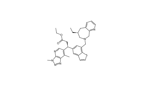 CCOC(=O)C[C@@H](c1cc(CN2Cc3ncccc3C[C@H](CC)C2)c2sccc2c1)c1cnc2c(nnn2C)c1C